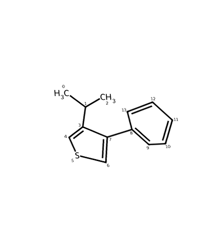 CC(C)c1cscc1-c1ccccc1